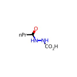 CCCC(=O)NNC(=O)O